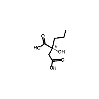 CCC[C@@](O)(CC(=O)O)C(=O)O